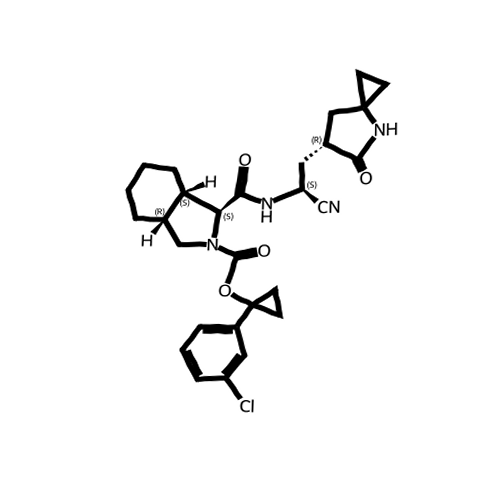 N#C[C@H](C[C@@H]1CC2(CC2)NC1=O)NC(=O)[C@@H]1[C@H]2CCCC[C@H]2CN1C(=O)OC1(c2cccc(Cl)c2)CC1